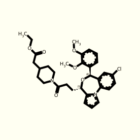 CCOC(=O)CC1CCN(C(=O)CC[C@@H]2O[C@@H](c3cccc(OC)c3OC)c3cc(Cl)ccc3-n3cccc32)CC1